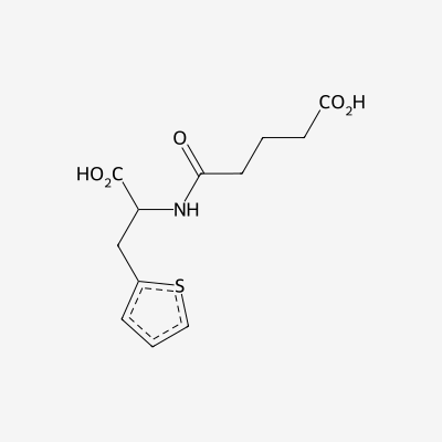 O=C(O)CCCC(=O)NC(Cc1cccs1)C(=O)O